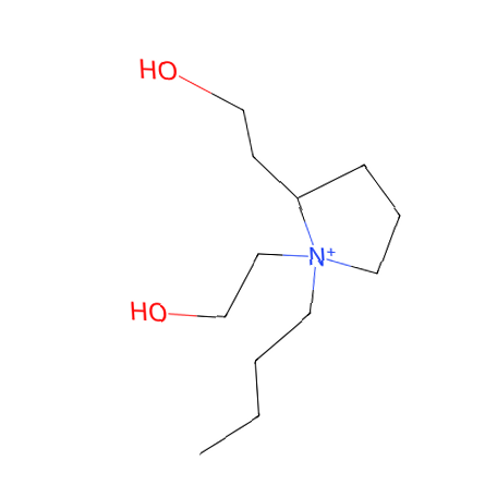 CCCC[N+]1(CCO)CCCC1CCO